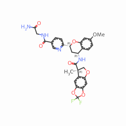 COc1ccc2c(c1)O[C@@H](c1ccc(C(=O)NCC(N)=O)cn1)C[C@H]2NC(=O)[C@@]1(C)COc2cc3c(cc21)OC(F)(F)O3